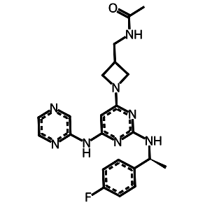 CC(=O)NCC1CN(c2cc(Nc3cnccn3)nc(N[C@@H](C)c3ccc(F)cc3)n2)C1